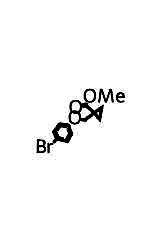 COC(=O)C1(COc2ccc(Br)cc2)CC1